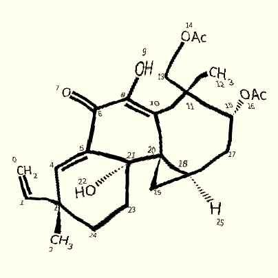 C=C[C@]1(C)C=C2C(=O)C(O)=C3[C@](C)(COC(C)=O)[C@H](OC(C)=O)C[C@H]4C[C@@]34[C@@]2(O)CC1